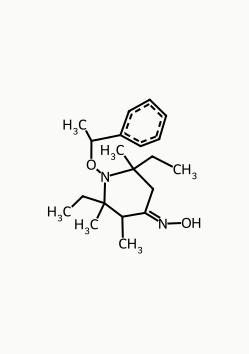 CCC1(C)C/C(=N\O)C(C)C(C)(CC)N1OC(C)c1ccccc1